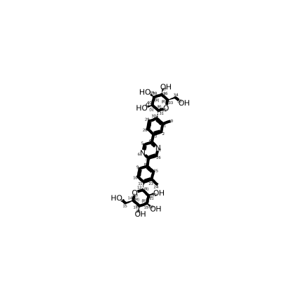 Cc1cc(-c2cnc(-c3ccc([C@H]4O[C@H](CO)[C@@H](O)[C@H](O)[C@@H]4O)c(C)c3)cn2)ccc1[C@H]1O[C@H](CO)[C@@H](O)[C@H](O)[C@@H]1O